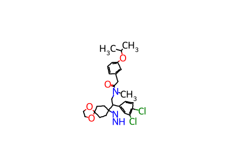 CC(C)Oc1cccc(CC(=O)N(C)CC(c2ccc(Cl)c(Cl)c2)C2(N=N)CCC3(CC2)OCCO3)c1